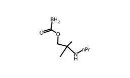 BC(=O)OCC(C)(C)NCCC